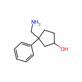 NCC1(c2ccccc2)CCC(O)C1